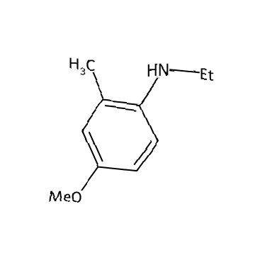 [CH2]CNc1ccc(OC)cc1C